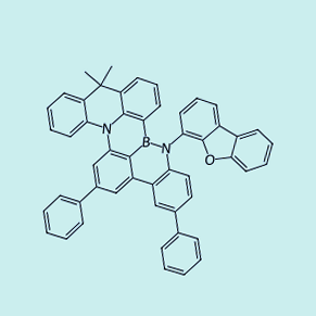 CC1(C)c2ccccc2N2c3cc(-c4ccccc4)cc4c3B(c3cccc1c32)N(c1cccc2c1oc1ccccc12)c1ccc(-c2ccccc2)cc1-4